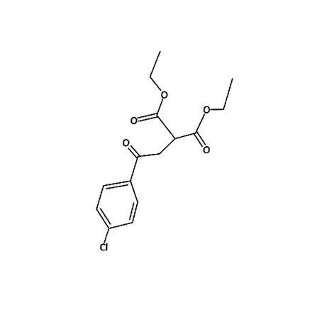 CCOC(=O)C(CC(=O)c1ccc(Cl)cc1)C(=O)OCC